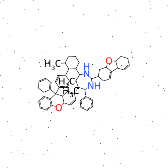 C=C1C(C)C(c2ccccc2)NC(C2CC=C3C(C2)OC2CCC=CC32)NC1C1CCCC(C)C1C1C=CC(C2(C3=CC=CCC3)c3ccccc3OC3C=CC=CC32)=CC1